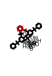 CC(C)(c1ccccc1)c1ccc(C(O)(c2ccc(C(C)(C)c3ccccc3)cc2C(C)(C)c2ccccc2)C(CO)(CO)CO)c(C(C)(C)c2ccccc2)c1.O=P(O)(O)OP(=O)(O)O